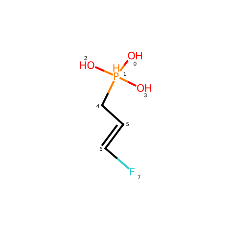 O[PH](O)(O)CC=CF